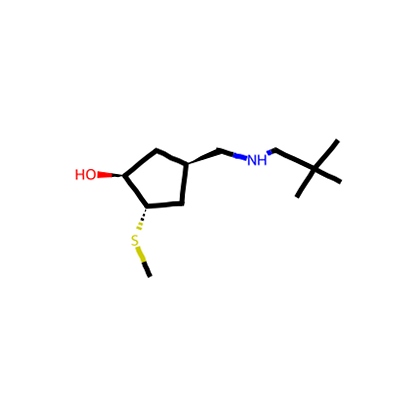 CS[C@H]1C[C@H](CNCC(C)(C)C)C[C@@H]1O